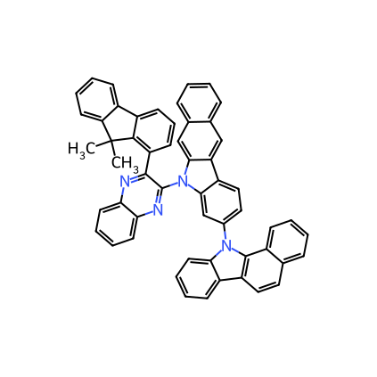 CC1(C)c2ccccc2-c2cccc(-c3nc4ccccc4nc3-n3c4cc(-n5c6ccccc6c6ccc7ccccc7c65)ccc4c4cc5ccccc5cc43)c21